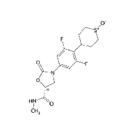 CNC(=O)[C@H]1CN(c2cc(F)c(C3CC[S+]([O-])CC3)c(F)c2)C(=O)O1